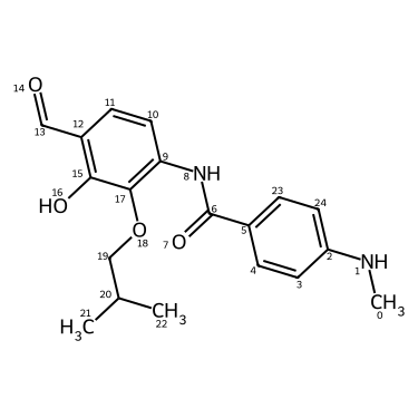 CNc1ccc(C(=O)Nc2ccc(C=O)c(O)c2OCC(C)C)cc1